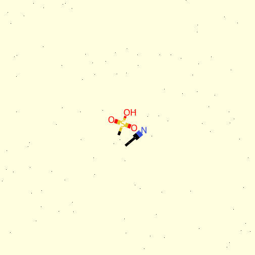 CC#N.CS(=O)(=O)O